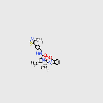 CCC[C@@H](C(=O)N1C[C@H](C)C[C@H]1C(=O)NCc1ccc(-c2scnc2C)cc1)N1Cc2ccccc2C1=O